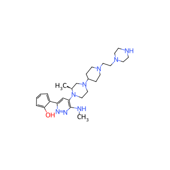 CNc1nnc(-c2ccccc2O)cc1N1CCN(C2CCN(CCN3CCNCC3)CC2)C[C@@H]1C